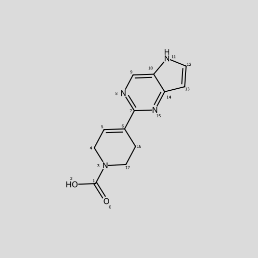 O=C(O)N1CC=C(c2ncc3[nH]ccc3n2)CC1